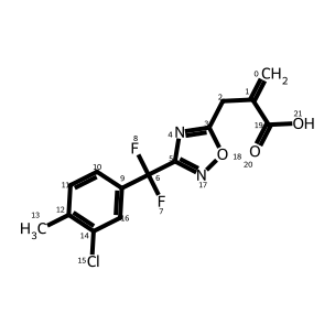 C=C(Cc1nc(C(F)(F)c2ccc(C)c(Cl)c2)no1)C(=O)O